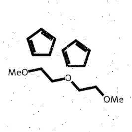 C1=CCC=C1.C1=CCC=C1.COCCOCCOC